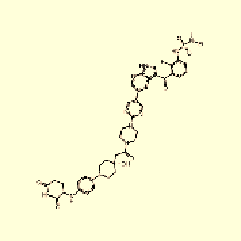 CCN(C)S(=O)(=O)Nc1cccc(C(=O)c2c[nH]c3ncc(-c4cnc(N5CCN(C(=O)CC6(O)CCN(c7ccc(NC8CCC(=O)NC8=O)cc7)CC6)CC5)nc4)cc23)c1F